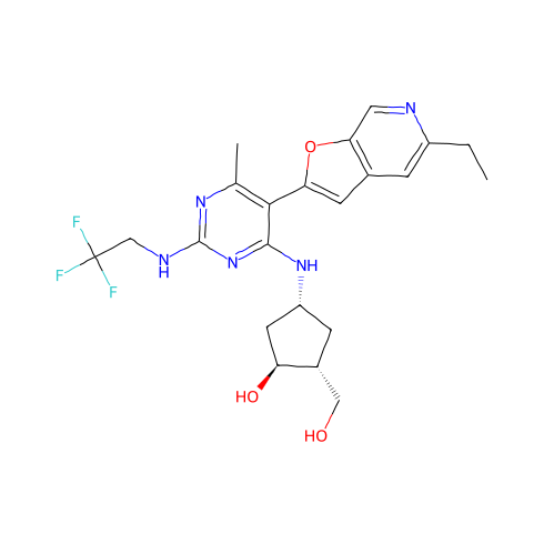 CCc1cc2cc(-c3c(C)nc(NCC(F)(F)F)nc3N[C@@H]3C[C@H](CO)[C@@H](O)C3)oc2cn1